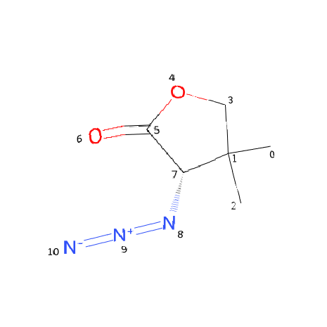 CC1(C)COC(=O)[C@H]1N=[N+]=[N-]